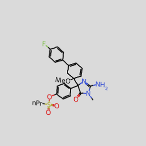 CCCS(=O)(=O)Oc1ccc(C2(C3(OC)C=CC=C(c4ccc(F)cc4)C3)N=C(N)N(C)C2=O)cc1